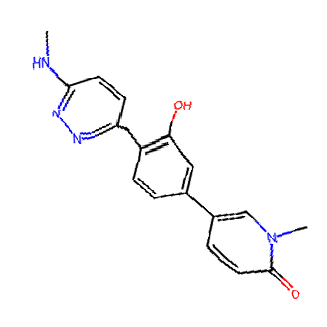 CNc1ccc(-c2ccc(-c3ccc(=O)n(C)c3)cc2O)nn1